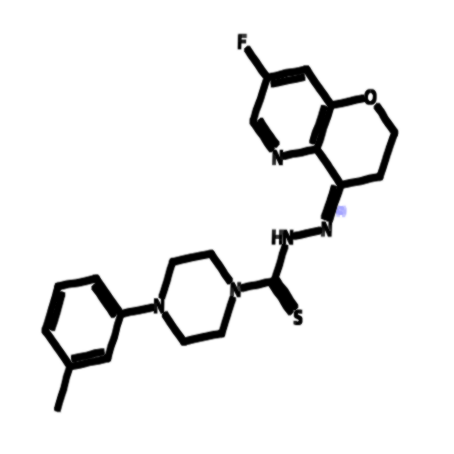 Cc1cccc(N2CCN(C(=S)N/N=C3/CCOc4cc(F)cnc43)CC2)c1